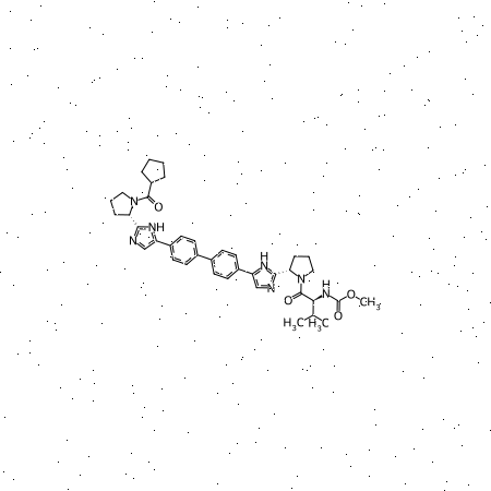 COC(=O)N[C@H](C(=O)N1CCC[C@H]1c1ncc(-c2ccc(-c3ccc(-c4cnc([C@@H]5CCCN5C(=O)C5CCCC5)[nH]4)cc3)cc2)[nH]1)C(C)C